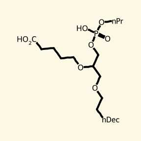 CCCCCCCCCCCCOCC(COP(=O)(O)OCCC)OCCCCC(=O)O